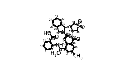 Cc1cc(C(C)Nc2ccccc2C(=O)O)c2nc(N3Cc4ccccc4C3)n([C@@H]3CCS(=O)(=O)C3)c(=O)c2c1